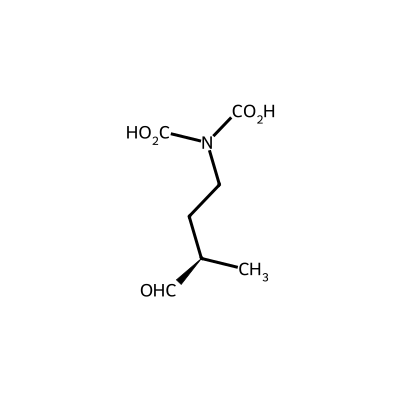 C[C@@H](C=O)CCN(C(=O)O)C(=O)O